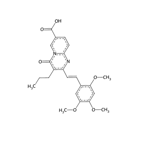 CCCc1c(/C=C/c2cc(OC)c(OC)cc2OC)nc2ccc(C(=O)O)cn2c1=O